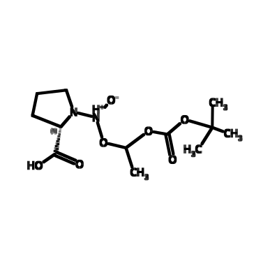 CC(OC(=O)OC(C)(C)C)O[NH+]([O-])N1CCC[C@H]1C(=O)O